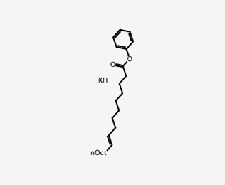 CCCCCCCCC=CCCCCCCCC(=O)Oc1ccccc1.[KH]